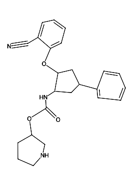 N#Cc1ccccc1OC1CC(c2ccccc2)CC1NC(=O)OC1CCCNC1